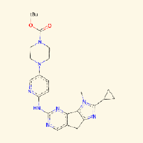 Cn1c(C2CC2)nc2c1-c1nc(Nc3ccc(N4CCN(C(=O)OC(C)(C)C)CC4)cn3)ncc1C2